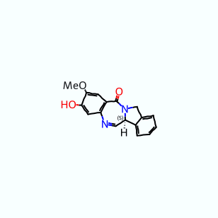 COc1cc2c(cc1O)N=C[C@@H]1c3ccccc3CN1C2=O